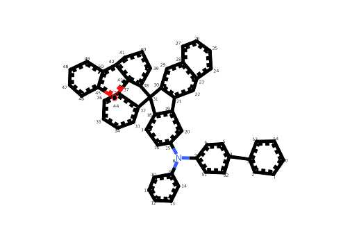 c1ccc(-c2ccc(N(c3ccccc3)c3ccc4c(c3)-c3cc5ccccc5cc3C4(c3ccccc3)c3cccc4c3oc3ccccc34)cc2)cc1